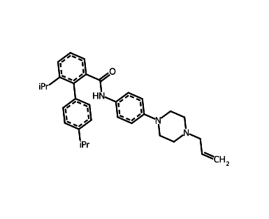 C=CCN1CCN(c2ccc(NC(=O)c3cccc(C(C)C)c3-c3ccc(C(C)C)cc3)cc2)CC1